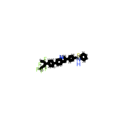 C=C(F)/C(=C(/F)C(F)=C(F)F)c1ccc(-c2ccc3cc(-c4ccc(C5Nc6ccccc6S5)cc4)cnc3c2)cc1